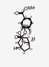 COC(=O)c1ccc(F)c(OC2C[C@H]3CC[C@H](C2)N3C(=O)OC(C)(C)C)c1